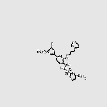 CC(C)COc1cc(F)cc(-c2ccc(C(=O)NS(=O)(=O)c3cccc(N)n3)c(OCCCCc3ccccn3)n2)c1